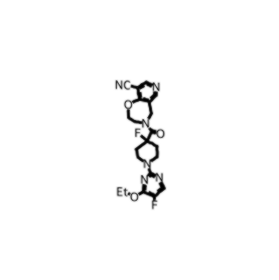 CCOc1nc(N2CCC(F)(C(=O)N3CCOc4c(C#N)cncc4C3)CC2)ncc1F